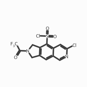 O=C(N1Cc2cc3cnc(Cl)cc3c(S(=O)(=O)Cl)c2C1)C(F)(F)F